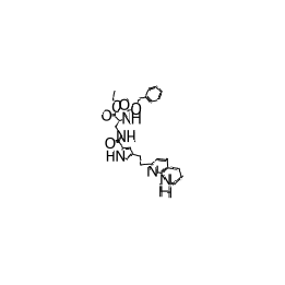 CCOC(=O)[C@H](CNC(=O)c1cc(CCc2ccc3c(n2)NCCC3)c[nH]1)NC(=O)OCc1ccccc1